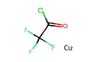 O=C(Cl)C(F)(F)F.[Cu]